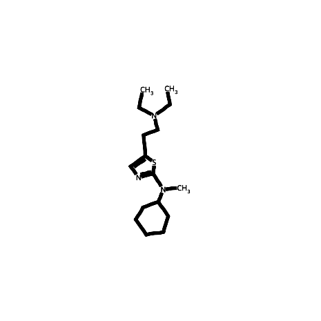 CCN(CC)CCc1cnc(N(C)C2CCCCC2)s1